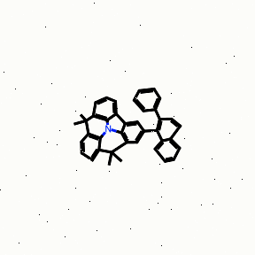 CC1(C)c2cccc3c2-n2c4c1cccc4c1cc(-c4c(-c5ccccc5)ccc5ccccc45)cc(c12)C3(C)C